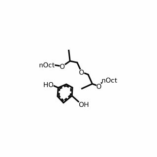 CCCCCCCCOC(C)COCC(C)OCCCCCCCC.Oc1ccc(O)cc1